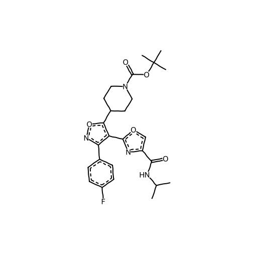 CC(C)NC(=O)c1coc(-c2c(-c3ccc(F)cc3)noc2C2CCN(C(=O)OC(C)(C)C)CC2)n1